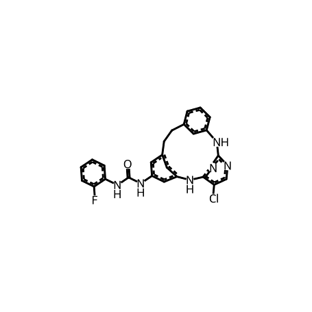 O=C(Nc1cc2cc(c1)Nc1nc(ncc1Cl)Nc1cccc(c1)CC2)Nc1ccccc1F